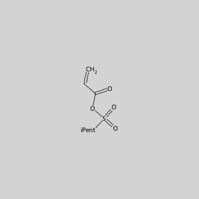 C=CC(=O)OS(=O)(=O)C(C)CCC